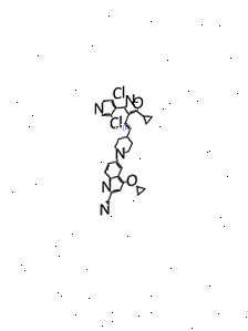 N#Cc1cc(OC2CC2)c2cc(N3CCC(/C=C/c4c(-c5c(Cl)cncc5Cl)noc4C4CC4)CC3)ccc2n1